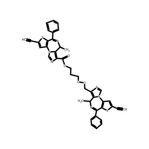 C#Cc1cc2c(s1)C(c1ccccc1)=NC(C)c1c(COOCCCOC(=O)c3ncn4c3C(C)N=C(c3ccccc3)c3sc(C#C)cc3-4)ncn1-2